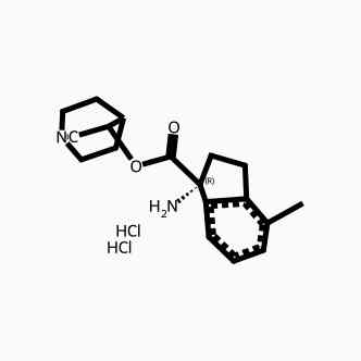 Cc1cccc2c1CC[C@]2(N)C(=O)OC1CN2CCC1CC2.Cl.Cl